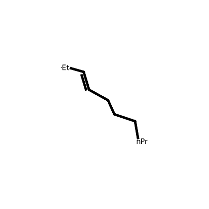 C[CH]C=CCCCCCC